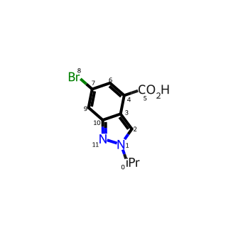 CC(C)n1cc2c(C(=O)O)cc(Br)cc2n1